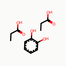 CCC(=O)O.CCC(=O)O.Oc1ccccc1O